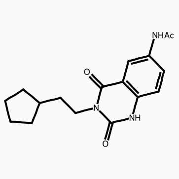 CC(=O)Nc1ccc2[nH]c(=O)n(CCC3CCCC3)c(=O)c2c1